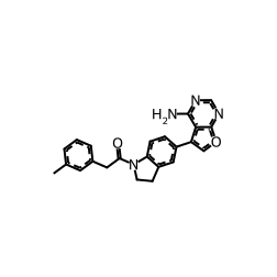 Cc1cccc(CC(=O)N2CCc3cc(-c4coc5ncnc(N)c45)ccc32)c1